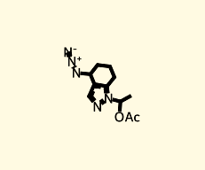 CC(=O)OC(C)n1ncc2c1CCCC2N=[N+]=[N-]